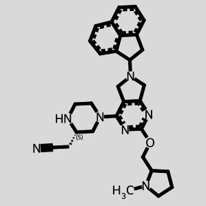 CN1CCCC1COc1nc2c(c(N3CCN[C@@H](CC#N)C3)n1)CN(C1Cc3cccc4cccc1c34)C2